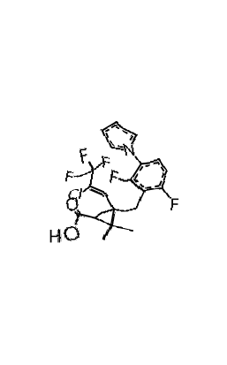 CC1(C)C(C(=O)O)C1(C=C(Cl)C(F)(F)F)Cc1c(F)ccc(-n2cccc2)c1F